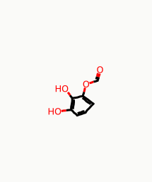 O=COc1cccc(O)c1O